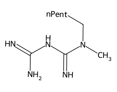 CCCCCCN(C)C(=N)NC(=N)N